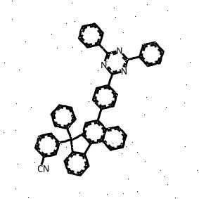 N#Cc1cccc(C2(c3ccccc3)c3ccccc3-c3c2cc(-c2ccc(-c4nc(-c5ccccc5)nc(-c5ccccc5)n4)cc2)c2ccccc32)c1